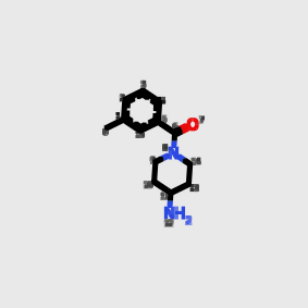 Cc1cc[c]c(C(=O)N2CCC(N)CC2)c1